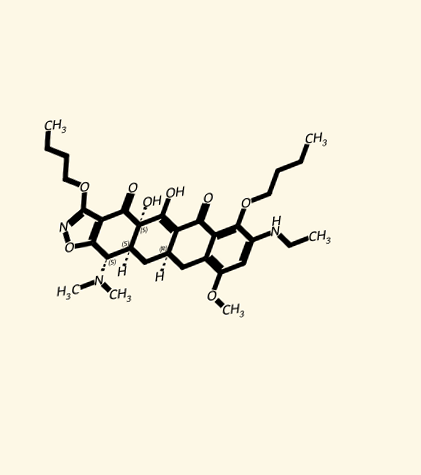 CCCCOc1noc2c1C(=O)[C@@]1(O)C(O)=C3C(=O)c4c(c(OC)cc(NCC)c4OCCCC)C[C@H]3C[C@H]1[C@@H]2N(C)C